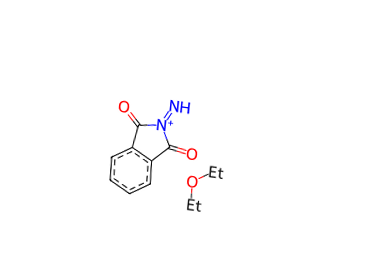 CCOCC.N=[N+]1C(=O)c2ccccc2C1=O